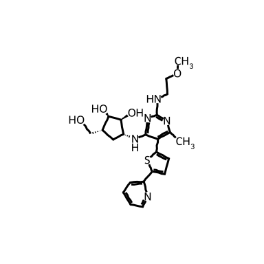 COCCNc1nc(C)c(-c2ccc(-c3ccccn3)s2)c(N[C@@H]2C[C@H](CO)[C@@H](O)[C@H]2O)n1